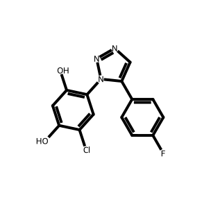 Oc1cc(O)c(-n2nncc2-c2ccc(F)cc2)cc1Cl